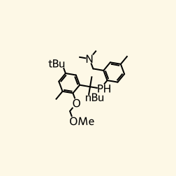 CCCCC(C)(Pc1ccc(C)cc1CN(C)C)c1cc(C(C)(C)C)cc(C)c1OCOC